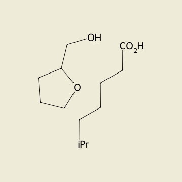 CC(C)CCCCC(=O)O.OCC1CCCO1